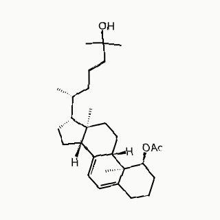 CC(=O)O[C@H]1CCCC2=CC=C3[C@@H]4CC[C@H]([C@H](C)CCCC(C)(C)O)[C@@]4(C)CC[C@@H]3[C@]21C